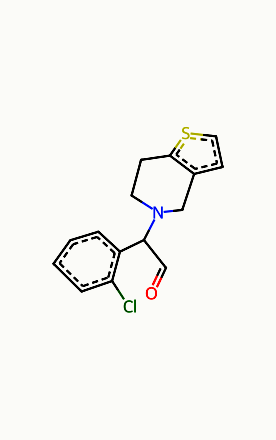 O=CC(c1ccccc1Cl)N1CCc2sccc2C1